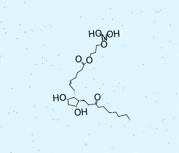 CCCCCCCC(=O)CC[C@@H]1[C@@H](C/C=C\CCCC(=O)OCCCON(O)O)[C@@H](O)C[C@H]1O